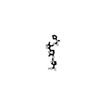 Cc1nc(-c2onc(C)c2COC(=O)N(C)C2CCCC2)ccc1OC[PH]12CCC(C(=O)O)(C1)C2